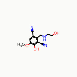 COc1cc(C#N)c(CNCCO)c(C#N)c1O